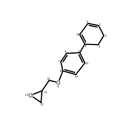 C1=CCCC(c2ccc(OCC3CO3)cc2)=C1